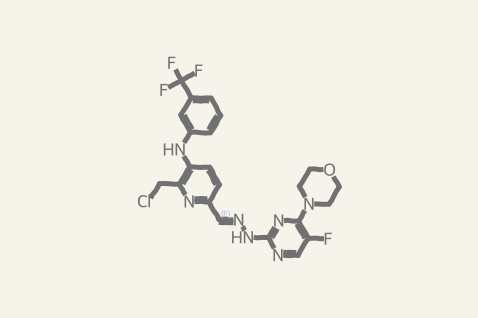 Fc1cnc(N/N=C/c2ccc(Nc3cccc(C(F)(F)F)c3)c(CCl)n2)nc1N1CCOCC1